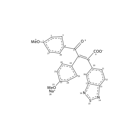 COc1ccc(C(=O)C(=C(C(=O)[O-])c2ccc3nsnc3c2)c2ccc(OC)cc2)cc1.[Na+]